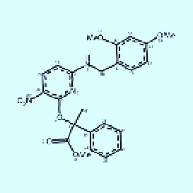 COC(=O)C(C)(Oc1nc(NCc2ccc(OC)cc2OC)ccc1[N+](=O)[O-])c1ccccc1